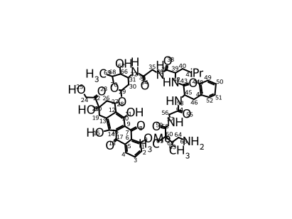 COc1cccc2c1C(=O)c1c(O)c3c(c(O)c1C2=O)C[C@](O)(C(=O)CO)C[C@H]3OC1CC(NC(=O)CNC(=O)C(CC(C)C)NC(=O)C(Cc2ccccc2)NC(=O)CNC(=O)C(C)C(C)CN)C(O)C(C)O1